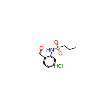 CCCS(=O)(=O)Nc1ccccc1C=O.Cl